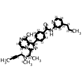 CC#CCN(C)[C@@H](C)c1nc(-c2ccc(C(=O)Nc3cc(CCC)ccn3)cc2)c2c(C)nccn12